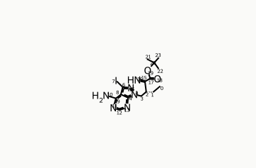 CC[C@H](Cn1nc(I)c2c(N)ncnc21)C(=N)C(=O)OC(C)(C)C